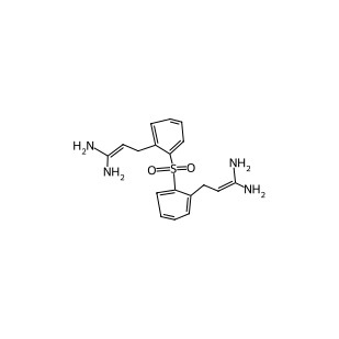 NC(N)=CCc1ccccc1S(=O)(=O)c1ccccc1CC=C(N)N